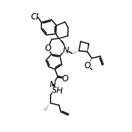 C=CC[C@H](C)C[SH]=NC(=O)c1ccc2c(c1)N(C[C@@H]1CC[C@H]1[C@H](C=C)OC)C[C@@]1(CCCc3cc(Cl)ccc31)CO2